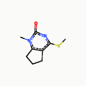 CSc1nc(=O)n(C)c2c1CCC2